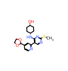 CSc1ncc(-c2cc(C3OCCO3)ccn2)c(N[C@H]2CC[C@H](O)CC2)n1